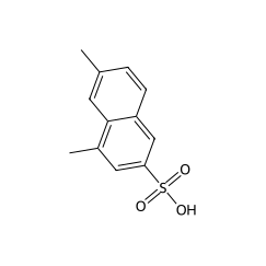 Cc1ccc2cc(S(=O)(=O)O)cc(C)c2c1